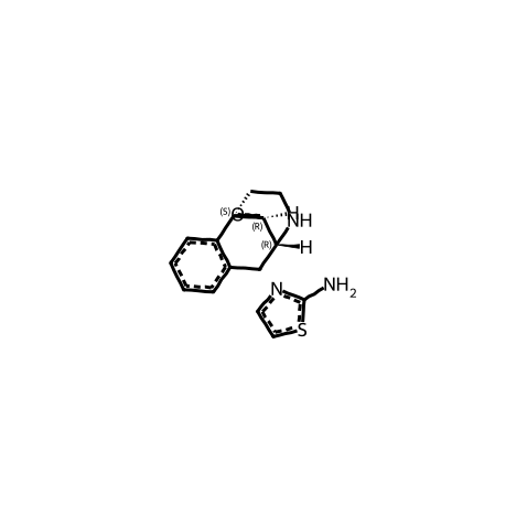 Nc1nccs1.c1ccc2c(c1)C[C@H]1NCC[C@@]23COCC[C@@H]13